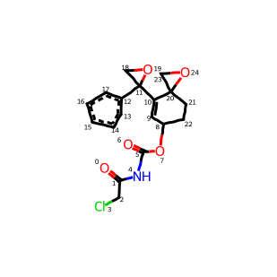 O=C(CCl)NC(=O)OC1C=C(C2(c3ccccc3)CO2)C2(CC1)CO2